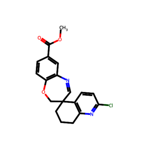 COC(=O)c1ccc2c(c1)N=CC1(CCCc3nc(Cl)ccc31)CO2